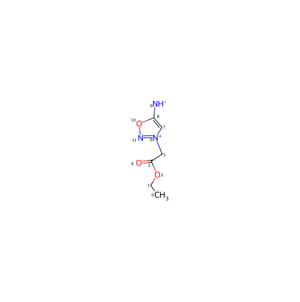 CCOC(=O)C[n+]1cc([NH-])on1